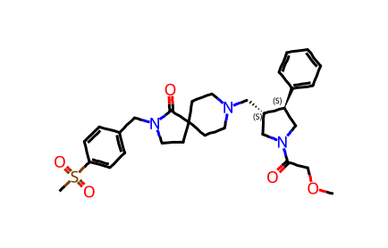 COCC(=O)N1C[C@H](CN2CCC3(CC2)CCN(Cc2ccc(S(C)(=O)=O)cc2)C3=O)[C@@H](c2ccccc2)C1